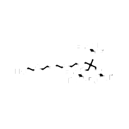 OCCOCCOCCOCCOCC(COC(C(F)(F)F)(C(F)(F)F)C(F)(F)F)(COC(C(F)(F)F)(C(F)(F)F)C(F)(F)F)COC(C(F)(F)F)(C(F)(F)F)C(F)(F)F